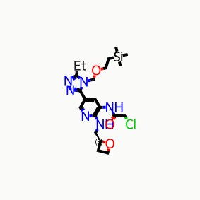 CCc1nnc(-c2cnc(NC[C@@H]3CCO3)c(NC(=O)CCl)c2)n1COCC[Si](C)(C)C